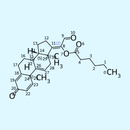 CCCCCC(=O)O/C(C=O)=C1/CC[C@H]2[C@@H]3CCC4=CC(=O)C=C[C@]4(C)C3=CC[C@]12C